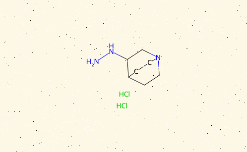 Cl.Cl.NNC1CN2CCC1CC2